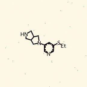 CCSc1cncc(N2CC3CNCC3C2)c1